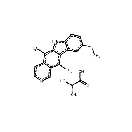 CC(O)C(=O)O.COc1ccc2[nH]c3c(C)c4ccncc4c(C)c3c2c1